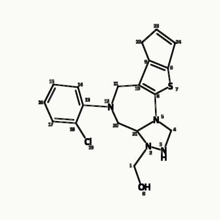 OCN1NCN2c3sc4c(c3CN(c3ccccc3Cl)CC12)CC=C4